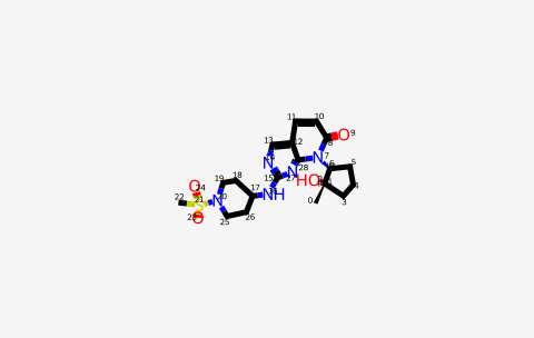 C[C@]1(O)CCC[C@@H]1n1c(=O)ccc2cnc(NC3CCN(S(C)(=O)=O)CC3)nc21